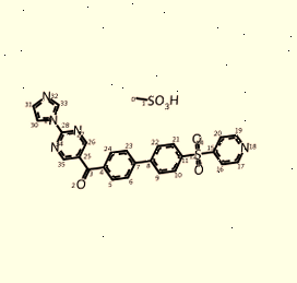 CS(=O)(=O)O.O=C(c1ccc(-c2ccc(S(=O)(=O)c3ccncc3)cc2)cc1)c1cnc(-n2ccnc2)nc1